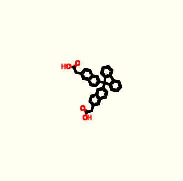 O=C(O)Cc1ccc2cc(C3(c4ccc5cc(CC(=O)O)ccc5c4)c4ccccc4-c4ccccc43)ccc2c1